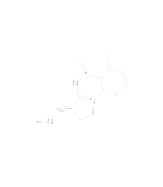 Cc1cccc2c1c(=O)nc1n2CC/C1=C\N(C)C